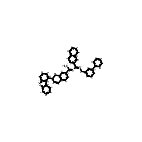 N/C(=N\C(=N/Cc1cccc(-c2ccccc2)c1)c1ccc2ccccc2c1)c1ccc2c(c1)CC(c1cccc3oc4ccccc4c13)C=C2